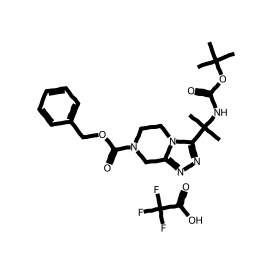 CC(C)(C)OC(=O)NC(C)(C)c1nnc2n1CCN(C(=O)OCc1ccccc1)C2.O=C(O)C(F)(F)F